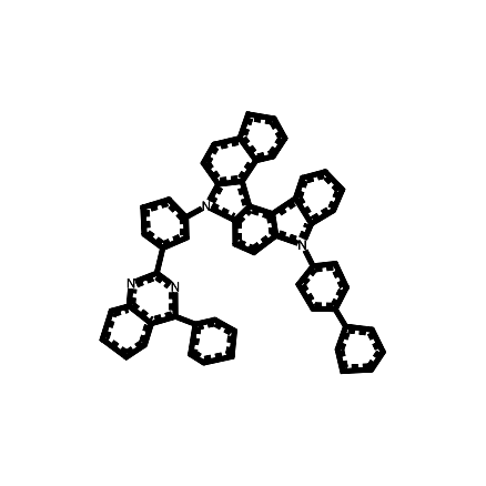 c1ccc(-c2ccc(-n3c4ccccc4c4c5c6c7ccccc7ccc6n(-c6cccc(-c7nc(-c8ccccc8)c8ccccc8n7)c6)c5ccc43)cc2)cc1